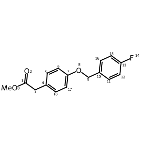 COC(=O)Cc1ccc(OCc2ccc(F)cc2)cc1